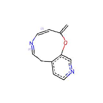 C=C1/C=C\N=C/Cc2ccncc2O1